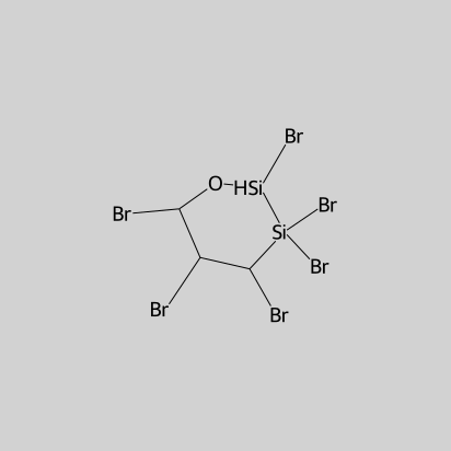 BrC1O[SiH](Br)[Si](Br)(Br)C(Br)C1Br